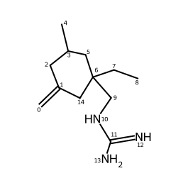 C=C1CC(C)CC(CC)(CNC(=N)N)C1